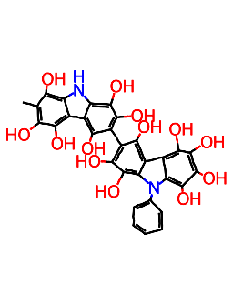 Cc1c(O)c(O)c2c([nH]c3c(O)c(O)c(-c4c(O)c(O)c5c(c4O)c4c(O)c(O)c(O)c(O)c4n5-c4ccccc4)c(O)c32)c1O